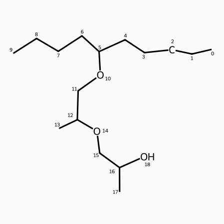 CCCCCC(CCCC)OCC(C)OCC(C)O